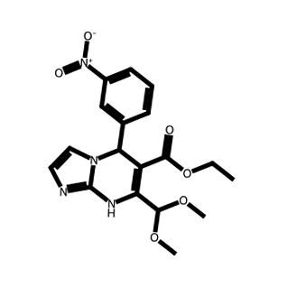 CCOC(=O)C1=C(C(OC)OC)Nc2nccn2C1c1cccc([N+](=O)[O-])c1